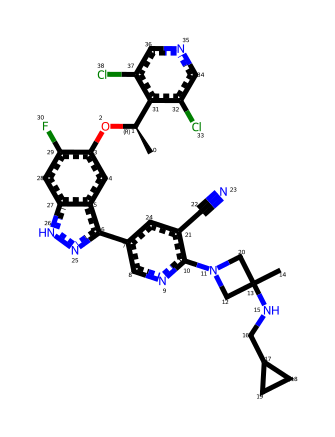 C[C@@H](Oc1cc2c(-c3cnc(N4CC(C)(NCC5CC5)C4)c(C#N)c3)n[nH]c2cc1F)c1c(Cl)cncc1Cl